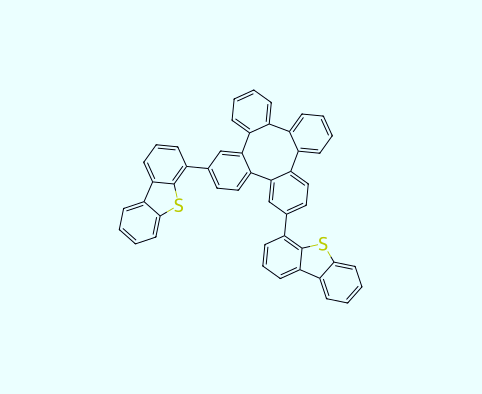 c1ccc2c(c1)-c1ccccc1-c1cc(-c3cccc4c3sc3ccccc34)ccc1-c1cc(-c3cccc4c3sc3ccccc34)ccc1-2